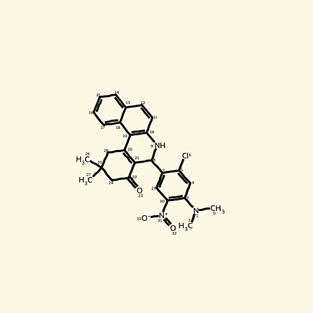 CN(C)c1cc(Cl)c(C2Nc3ccc4ccccc4c3C3=C2C(=O)CC(C)(C)C3)cc1[N+](=O)[O-]